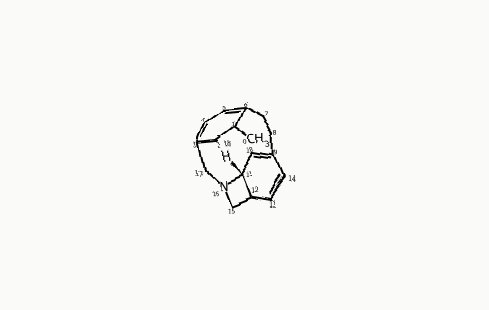 CC1CC2=CC=C1CCC1=C[C@@H]3C(C=C1)CN3C2